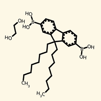 CCCCCCCCC1(CCCCCCCC)c2cc(B(O)O)ccc2-c2ccc(B(O)O)cc21.OCCO